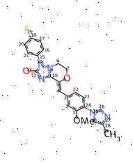 COc1cc(/C=C2\OCCn3c2nc(=O)n3-c2ccc(F)cc2)ccc1-n1cnc(C)c1